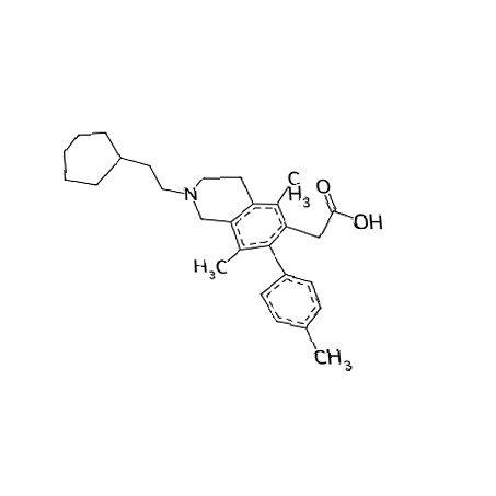 Cc1ccc(-c2c(C)c3c(c(C)c2CC(=O)O)CCN(CCC2CCCCC2)C3)cc1